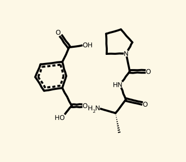 C[C@H](N)C(=O)NC(=O)N1CCCC1.O=C(O)c1cccc(C(=O)O)c1